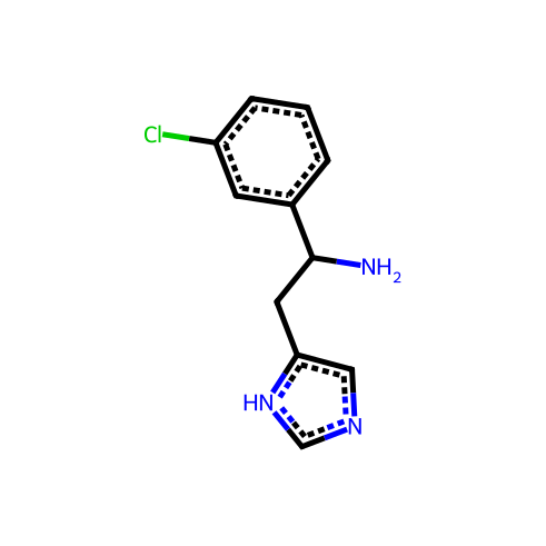 NC(Cc1cnc[nH]1)c1cccc(Cl)c1